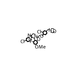 COc1ccc(C2c3c(nc4cc(Cl)ccn34)CCN2C(=O)COc2ccc(CN3CCOCC3)cc2Cl)c(F)c1